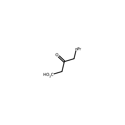 CCCCC(=O)CC(=O)O